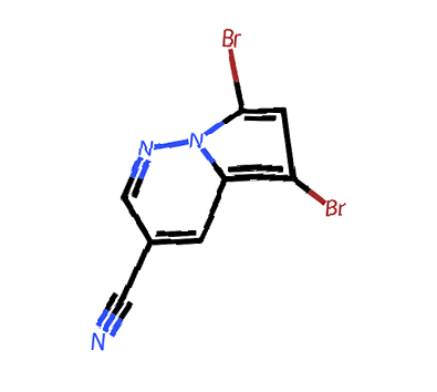 N#Cc1cnn2c(Br)cc(Br)c2c1